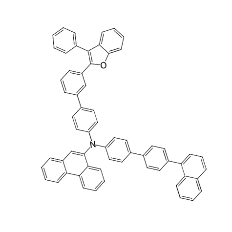 c1ccc(-c2c(-c3cccc(-c4ccc(N(c5ccc(-c6ccc(-c7cccc8ccccc78)cc6)cc5)c5cc6ccccc6c6ccccc56)cc4)c3)oc3ccccc23)cc1